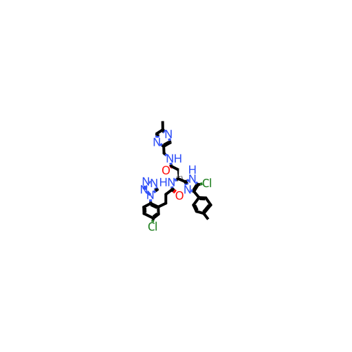 Cc1ccc(-c2nc([C@H](CC(=O)NCc3cnc(C)cn3)NC(=O)CCc3cc(Cl)ccc3-n3cnnn3)[nH]c2Cl)cc1